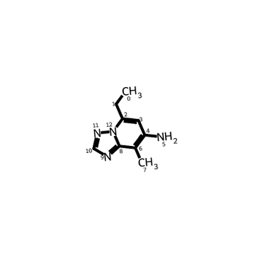 CCc1cc(N)c(C)c2ncnn12